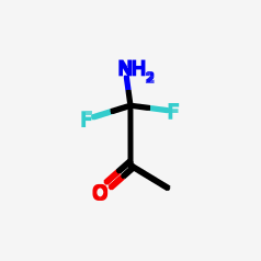 CC(=O)C(N)(F)F